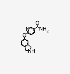 NC(=O)c1ccc(Oc2ccc3c(c2)CNC3)nc1